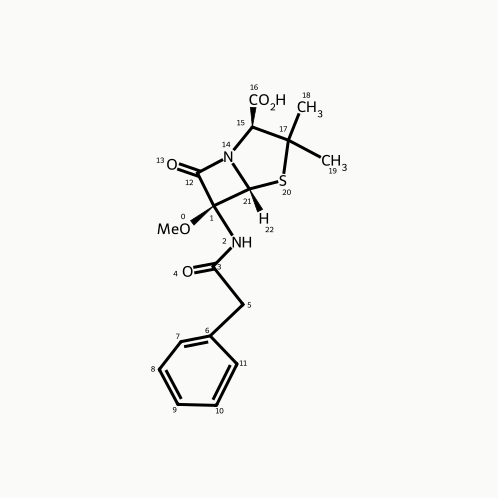 CO[C@@]1(NC(=O)Cc2ccccc2)C(=O)N2[C@@H](C(=O)O)C(C)(C)S[C@@H]21